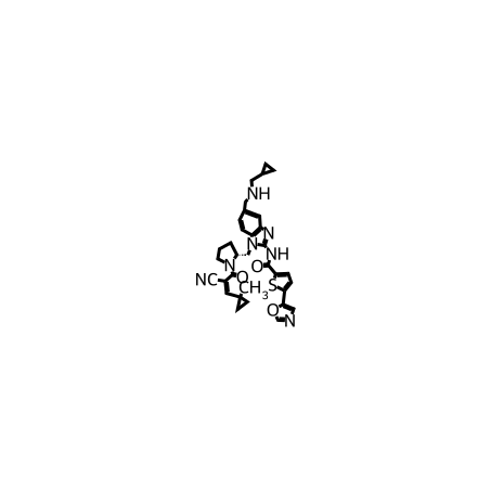 CC1(/C=C(/C#N)C(=O)N2CCC[C@@H]2Cn2c(NC(=O)c3ccc(-c4cnco4)s3)nc3cc(CNCC4CC4)ccc32)CC1